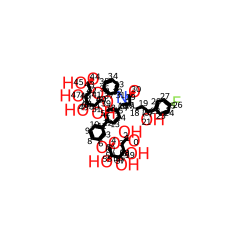 O=C(O)C1O[C@@H](Oc2cccc(-c3ccc([C@@H]4[C@@H](CC[C@H](O)c5ccc(F)cc5)C(=O)N4c4ccccc4)c(O[C@@H]4OC(C(=O)O)[C@@H](O)[C@H](O)C4O)c3)c2)C(O)[C@@H](O)[C@@H]1O